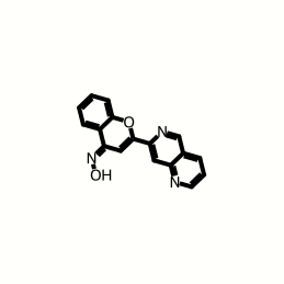 O/N=c1\cc(-c2cc3ncccc3cn2)oc2ccccc12